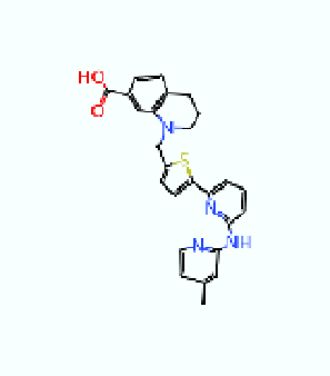 Cc1ccnc(Nc2cccc(-c3ccc(CN4CCCc5ccc(C(=O)O)cc54)s3)n2)c1